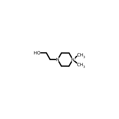 C[N+]1(C)CCN(CCO)CC1